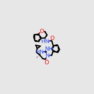 C[C@@]1(CC2CC2)CC(=O)N(Cc2cccc(C(=O)N[C@@H]3CCOc4ccccc43)c2)C(=N)N1